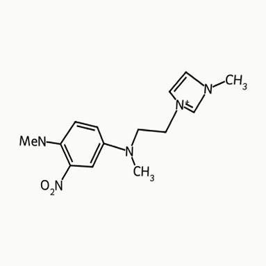 CNc1ccc(N(C)CC[n+]2ccn(C)c2)cc1[N+](=O)[O-]